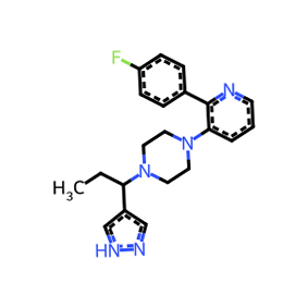 CCC(c1cn[nH]c1)N1CCN(c2cccnc2-c2ccc(F)cc2)CC1